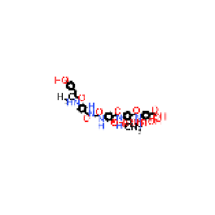 COc1c(NC(=O)c2ccc(NC(=O)c3ccc(NC(=O)CNC(=O)c4ccc(NC(=O)/C(C)=C/c5ccc(O)cc5)cc4)cc3O)c(OC)c2O)ccc(C(=O)O)c1O